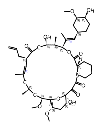 C=CC[C@@H]1/C=C(\C)C[C@H](C)C[C@H](OC)[C@H]2O[C@@](O)(C(=O)C(=O)N3CCCC[C@H]3C(=O)O[C@H](/C(C)=C/[C@@H]3CC[C@H](O)[C@H](OC)C3)[C@H](C)[C@@H](O)CC1=O)[C@H](C)C[C@@H]2OC